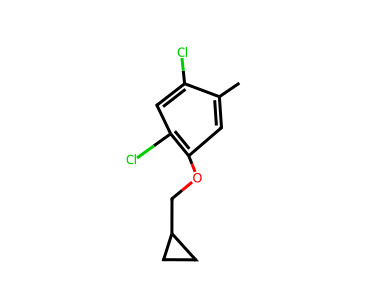 Cc1cc(OCC2CC2)c(Cl)cc1Cl